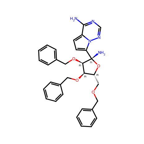 Nc1ncnn2c([C@]3(N)O[C@H](COCc4ccccc4)[C@@H](OCc4ccccc4)[C@H]3OCc3ccccc3)ccc12